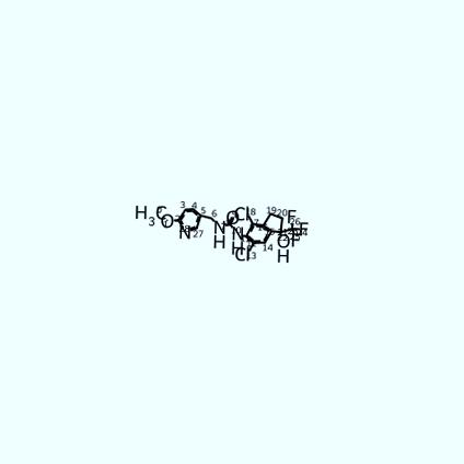 COc1ccc(CNC(=O)Nc2c(Cl)cc3c(c2Cl)CCC3(O)C(F)(F)F)cn1